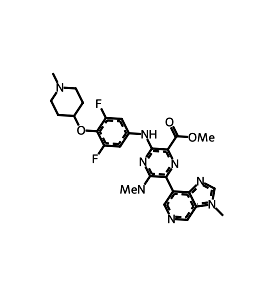 CNc1nc(Nc2cc(F)c(OC3CCN(C)CC3)c(F)c2)c(C(=O)OC)nc1-c1cncc2c1ncn2C